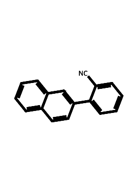 N#Cc1ccccc1-c1[c]c2ccccc2cc1